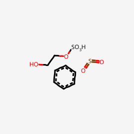 O=S(=O)(O)OCCO.O=S=O.c1ccccc1